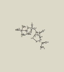 CCCCN(OS(=O)(=O)ON1C(=O)N2CC1CC[C@H]2C(N)=O)C(CCC)(CCCC)CCCC